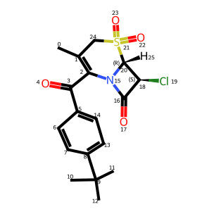 CC1=C(C(=O)c2ccc(C(C)(C)C)cc2)N2C(=O)[C@H](Cl)[C@H]2S(=O)(=O)C1